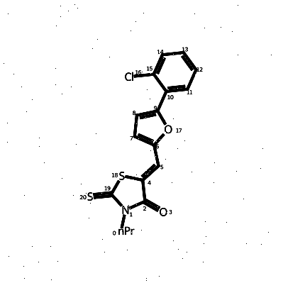 CCCN1C(=O)/C(=C/c2ccc(-c3ccccc3Cl)o2)SC1=S